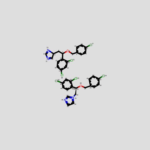 Clc1ccc(COC(CC2C=NC=N2)c2ccc(Cl)cc2Cl)cc1.Clc1ccc(CO[C@@H](Cn2ccnc2)c2ccc(Cl)cc2Cl)cc1